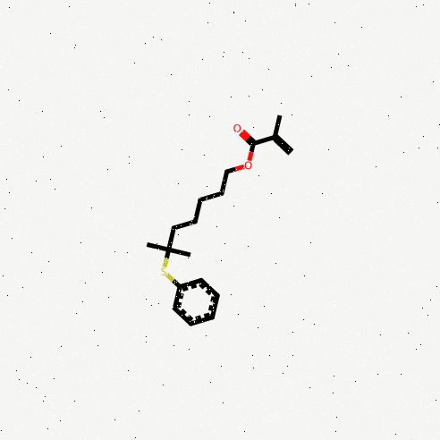 C=C(C)C(=O)OCCCCCC(C)(C)Sc1ccccc1